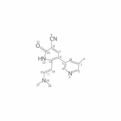 Cc1cncc(-c2cc(C#N)c(=O)[nH]c2/C=C/N(C)C)c1